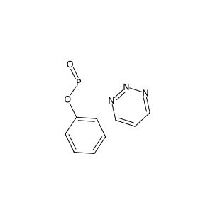 O=POc1ccccc1.c1cnnnc1